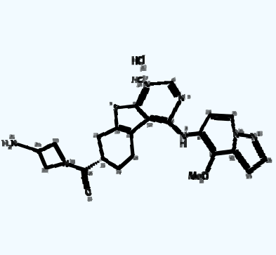 COc1c(Nc2ncnc3sc4c(c23)CC[C@H](C(=O)N2CC(N)C2)C4)ccn2nccc12.Cl.Cl